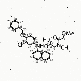 COCC(=O)N(C)C[C@H](C)Oc1cccc2cccc(Nc3ccc(OCc4ccccn4)c(Cl)c3)c12